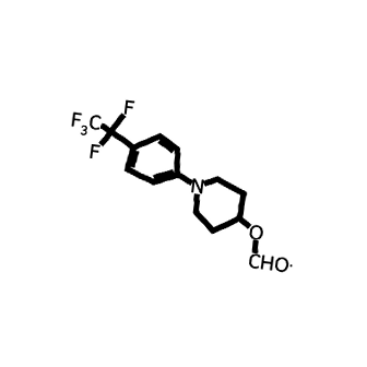 O=[C]OC1CCN(c2ccc(C(F)(F)C(F)(F)F)cc2)CC1